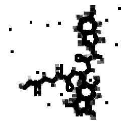 CCNCCNC(=O)CN(CC(=O)N(C)N1Cc2ccc(F)cc2C1)c1cc2c(C)nn(C)c2cc1C